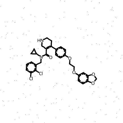 O=C(C1=C(c2ccc(OCCOc3ccc4c(c3)OCO4)cc2)CCNC1)N(Cc1cccc(Cl)c1Cl)C1CC1